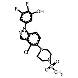 CS(=O)(=O)N1CCN(c2ccc3c(cnn3-c3cc(O)c(F)c(F)c3)c2Cl)CC1